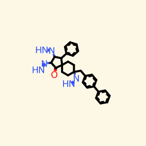 N=NC1C(=O)C2(CCC(Cc3ccc(-c4ccccc4)cc3)(N=N)CC2)C(c2ccccc2)C1N=N